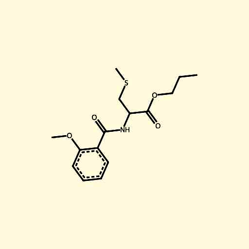 CCCOC(=O)C(CSC)NC(=O)c1ccccc1OC